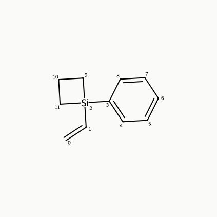 C=C[Si]1(c2ccccc2)CCC1